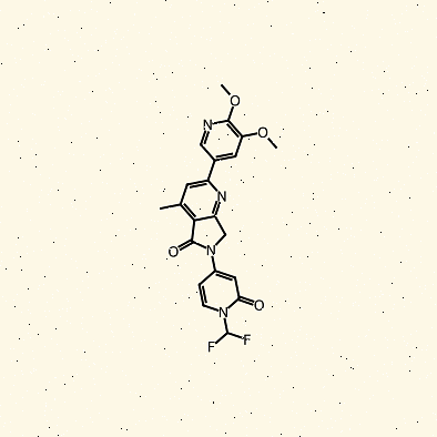 COc1cc(-c2cc(C)c3c(n2)CN(c2ccn(C(F)F)c(=O)c2)C3=O)cnc1OC